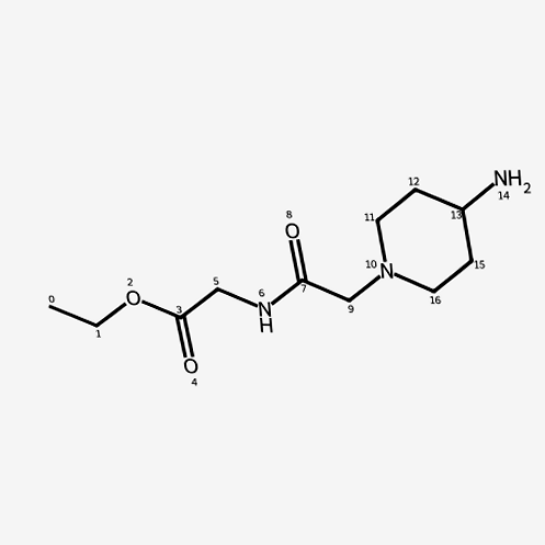 CCOC(=O)CNC(=O)CN1CCC(N)CC1